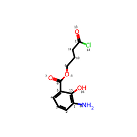 Nc1cccc(C(=O)OCCCC(=O)Cl)c1O